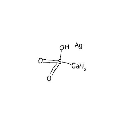 O=[S](=O)(O)[GaH2].[Ag]